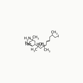 CC(CI)C/C=C/CC(C)(C)CC(C)(C)C(C=N)CC(C)(C)N